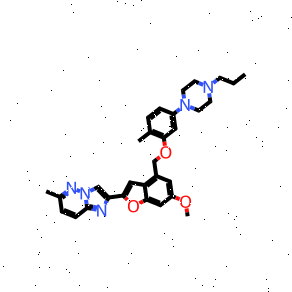 CCCN1CCN(c2ccc(C)c(OCc3cc(OC)cc4oc(-c5cn6nc(C)ccc6n5)cc34)c2)CC1